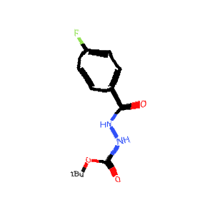 CC(C)(C)OC(=O)NNC(=O)c1ccc(F)cc1